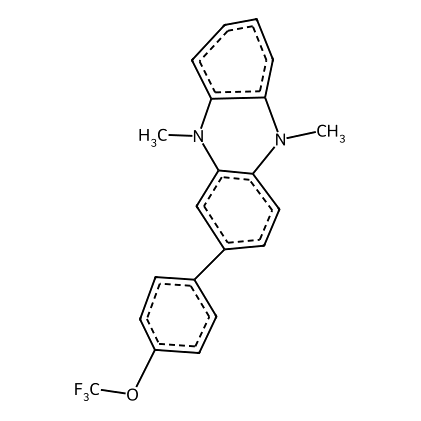 CN1c2ccccc2N(C)c2cc(-c3ccc(OC(F)(F)F)cc3)ccc21